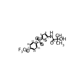 CC(C)(O)C(=O)Nc1ccc(S(=O)(=O)c2ccc(OC(F)(F)F)cc2)s1